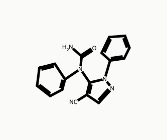 N#Cc1cnn(-c2ccccc2)c1N(C(N)=O)c1ccccc1